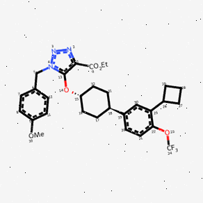 CCOC(=O)c1nnn(Cc2ccc(OC)cc2)c1O[C@H]1CC[C@H](c2ccc(OC(F)(F)F)c(C3CCC3)c2)CC1